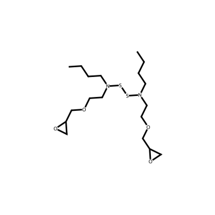 CCCCN(CCOCC1CO1)SSN(CCCC)CCOCC1CO1